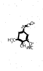 Cc1cc(N=C=O)cc(OC#N)c1C